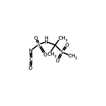 CC(C)(NS(=O)(=O)N=C=O)S(C)(=O)=O